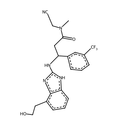 CN(CC#N)C(=O)CC(Nc1nc2c(CCO)cccc2[nH]1)c1cccc(C(F)(F)F)c1